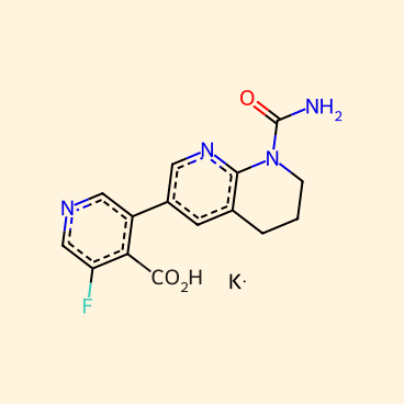 NC(=O)N1CCCc2cc(-c3cncc(F)c3C(=O)O)cnc21.[K]